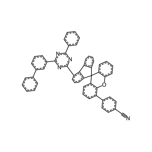 N#Cc1ccc(-c2cccc3c2Oc2ccccc2C32c3ccccc3-c3c(-c4nc(-c5ccccc5)nc(-c5cccc(-c6ccccc6)c5)n4)cccc32)cc1